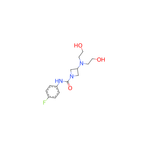 O=C(Nc1ccc(F)cc1)N1CC(N(CCO)CCO)C1